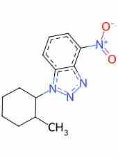 CC1CCCCC1n1nnc2c([N+](=O)[O-])cccc21